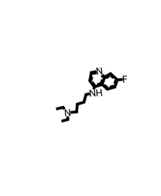 CCN(CC)CCCCNc1ccnc2cc(F)ccc12